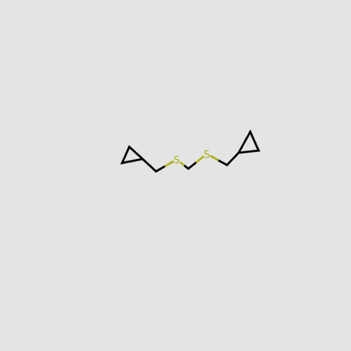 C(SCC1CC1)SCC1CC1